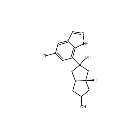 OC1CC2CC(O)(c3cc(Cl)cc4cn[nH]c34)C[C@@H]2C1